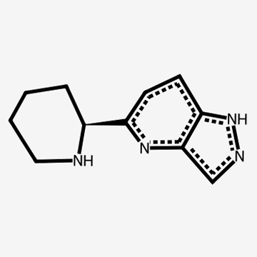 c1cc2[nH]ncc2nc1[C@@H]1CCCCN1